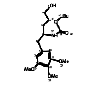 COc1cc(CC(CCCO)NC(=O)OC(C)(C)C)cc(OC)c1OC